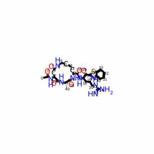 CC(=O)N[C@H]1CC(=O)NCCCC[C@@H](C(=O)NC(CCCNC(=N)N)C(=O)c2nc3ccccc3s2)NC(=O)[C@H](C)NC1=O